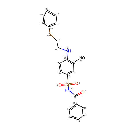 O=Nc1cc(S(=O)(=O)NC(=O)c2ccccc2)ccc1NCCSc1ccccc1